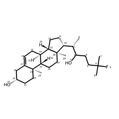 C[C@H](C(O)CCC(C)(C)F)[C@H]1CC[C@H]2[C@@H]3CC=C4C[C@@H](O)CC[C@]4(C)[C@H]3CC[C@]12C